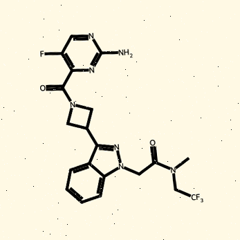 CN(CC(F)(F)F)C(=O)Cn1nc(C2CN(C(=O)c3nc(N)ncc3F)C2)c2ccccc21